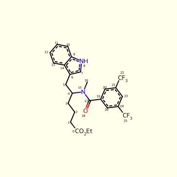 CCOC(=O)CCCC(Cc1c[nH]c2ccccc12)N(C)C(=O)c1cc(C(F)(F)F)cc(C(F)(F)F)c1